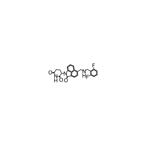 O=C1CCC(N2C(=O)c3ccc(CNCc4c(F)cccc4F)c4cccc2c34)C(=O)N1